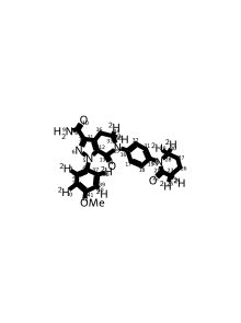 [2H]c1c([2H])c(-n2nc(C(N)=O)c3c2C(=O)N(c2ccc(N4C(=O)C([2H])([2H])CCC4([2H])[2H])cc2)C([2H])([2H])C3)c([2H])c([2H])c1OC